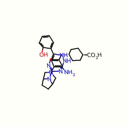 NC1=C(N2CC3CCC(C2)N3c2ncc(C[C@H]3CC[C@H](C(=O)O)CC3)cn2)C=C(c2ccccc2O)NN1